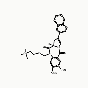 COc1cc2c(cc1OC)N(COCC[Si](C)(C)C)C(=O)[C@@H]1CC(c3ccc4ccccc4c3)=CN1C2=O